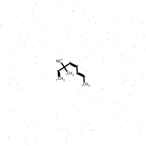 C=CC(C)(C#N)/C=C\C=C\C